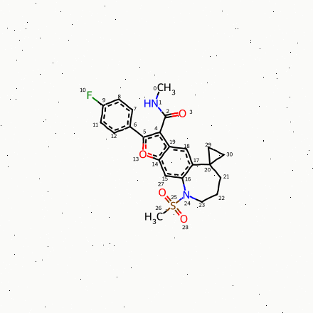 CNC(=O)c1c(-c2ccc(F)cc2)oc2cc3c(cc12)C1(CCCN3S(C)(=O)=O)CC1